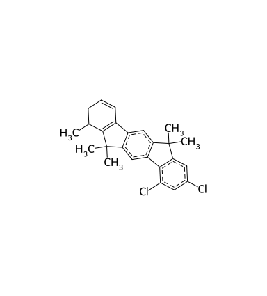 CC1CC=CC2=C1C(C)(C)c1cc3c(cc12)C(C)(C)c1cc(Cl)cc(Cl)c1-3